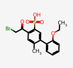 CCOc1ccccc1-c1cc(S(=O)(=O)O)c(C(=O)CBr)cc1C